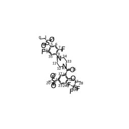 CCS(=O)(=O)c1cc(F)c(N2CCN(C(=O)c3cc(S(C)(=O)=O)ccc3OC(C)C(F)(F)F)CC2)cc1F